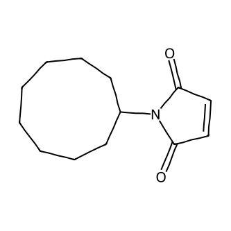 O=C1C=CC(=O)N1C1CCCCCCCC1